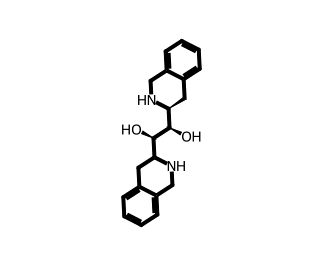 O[C@H]([C@@H]1Cc2ccccc2CN1)[C@H](O)C1Cc2ccccc2CN1